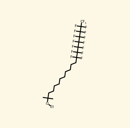 CCOC(C)(C)CCCCCCCCCCC(F)(F)C(F)(F)C(F)(F)C(F)(F)C(F)(F)C(F)(F)C(F)(F)C(F)(F)F